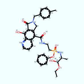 CCO[C@@H](O)[C@H](C)NP(=O)(CCNC(=O)c1c2c(c(O)c3ncccc13)C(=O)N(Cc1ccc(C)cc1)C2)Oc1ccccc1